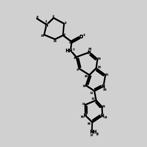 CN1CCC(C(=O)Nc2cc3cc(-c4cnc(N)nc4)ncc3cn2)CC1